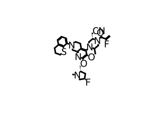 C=C(F)C(=O)N1CC2COc3c(OC[C@@H]4C[C@@H](F)CN4C)nc4c(c3N2C[C@@H]1CC#N)CCN(c1cccc2c1SCCC2)C4